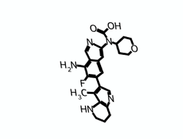 Cc1c(-c2cc3cc(N(C(=O)O)C4CCOCC4)ncc3c(N)c2F)cnc2c1NCCC2